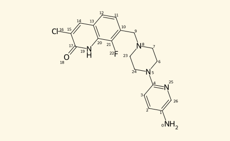 Nc1ccc(N2CCN(Cc3ccc4cc(Cl)c(=O)[nH]c4c3F)CC2)nc1